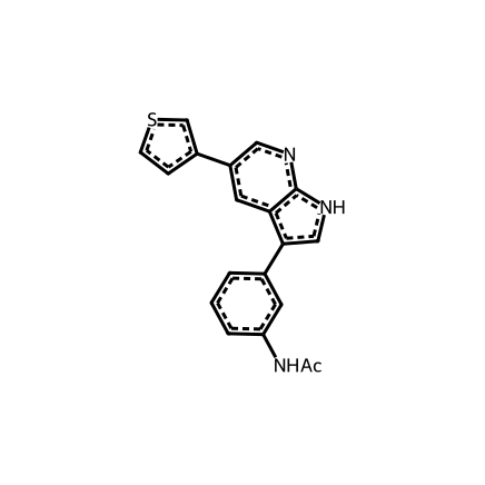 CC(=O)Nc1cccc(-c2c[nH]c3ncc(-c4ccsc4)cc23)c1